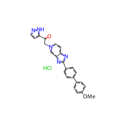 COc1ccc(-c2ccc(-c3nc4ccn(CC(=O)c5ccn[nH]5)cc-4n3)cc2)cc1.Cl